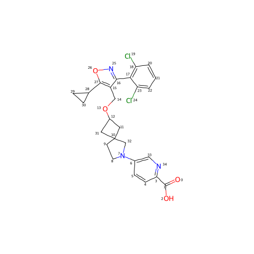 O=C(O)c1ccc(N2CCC3(CC(OCc4c(-c5c(Cl)cccc5Cl)noc4C4CC4)C3)C2)cn1